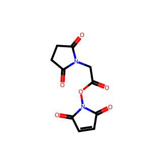 O=C(CN1C(=O)CCC1=O)ON1C(=O)C=CC1=O